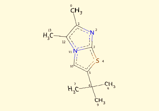 Cc1nc2sc(C(C)(C)C)cn2c1C